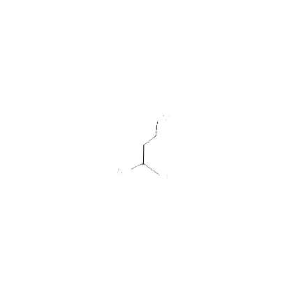 COCC[C](C#N)C(C)C